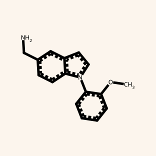 COc1ccccc1-n1ccc2cc(CN)ccc21